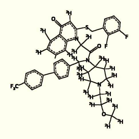 [2H]c1c(C)c([2H])c2c(c1[2H])c(=O)c([2H])c(SCc1cccc(F)c1F)n2C([2H])([2H])C(=O)N(C([2H])([2H])c1ccc(-c2ccc(C(F)(F)F)cc2)cc1)C1([2H])C([2H])([2H])C([2H])([2H])N(C([2H])([2H])C([2H])([2H])OC([2H])([2H])[2H])C([2H])([2H])C1([2H])[2H]